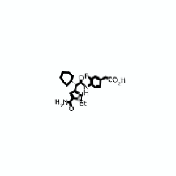 CCn1nc([C@@H](C(=O)Nc2ccc(CC(=O)O)cc2F)C2CCCCCC2)cc1C(N)=O